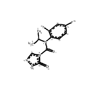 CC(C)N(C(=O)n1cn[nH]c1=O)c1ccc(F)cc1F